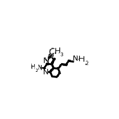 Cn1cc2c3c(nc(N)c2n1)CCCC3CCCCN